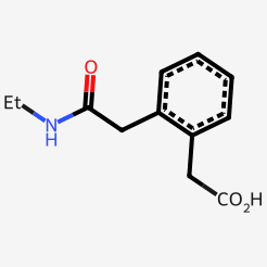 CCNC(=O)Cc1ccccc1CC(=O)O